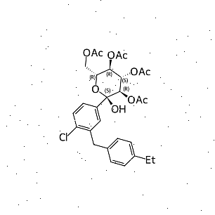 CCc1ccc(Cc2cc([C@]3(O)O[C@H](COC(C)=O)[C@@H](OC(C)=O)[C@H](OC(C)=O)[C@H]3OC(C)=O)ccc2Cl)cc1